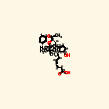 CC(Oc1ccccc1)[C@H](CCC1=CC[C@H](O)[C@@H]1CCC=C=CCC(=O)O)O[Si](C)(C)C(C)(C)C